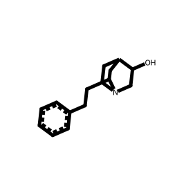 OC1CN2CCC1CC2CCc1ccccc1